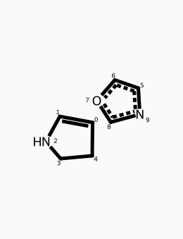 C1=CNCC1.c1cocn1